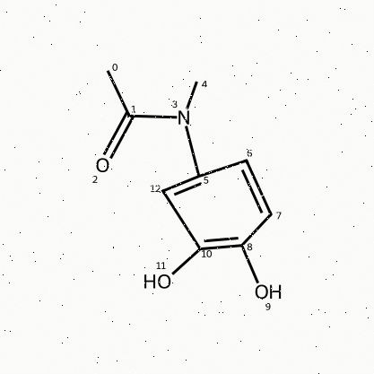 CC(=O)N(C)c1ccc(O)c(O)c1